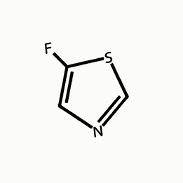 Fc1cncs1